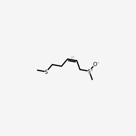 CSCC/C=C\C[S+](C)[O-]